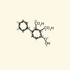 O=C(O)c1c(OO)ccc(-c2ccccc2)c1C(=O)O